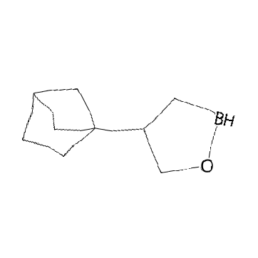 B1CC(C23CCC(C2)C3)CO1